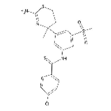 CC1(c2cc(NC(=S)c3ccc(Cl)cc3)cc(S(C)(=O)=O)c2)CCSC(N)=N1